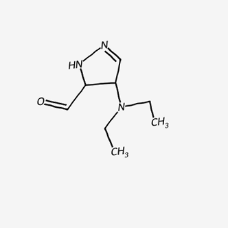 CCN(CC)C1C=NNC1C=O